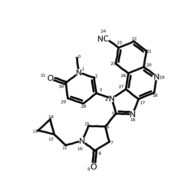 Cn1cc(-n2c(C3CC(=O)N(CC4CC4)C3)nc3cnc4ccc(C#N)cc4c32)ccc1=O